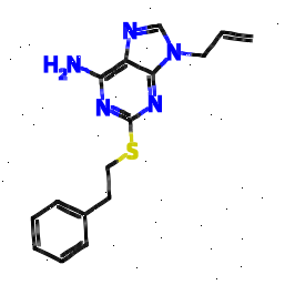 C=CCn1cnc2c(N)nc(SCCc3ccccc3)nc21